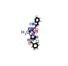 CC(C)(C)C(NC(=O)c1cc2ccccc2[nH]1)C(=O)N1C[C@@H]2C[C@H]1CN2C(=O)c1ccccc1Cl